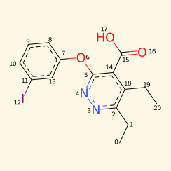 CCc1nnc(Oc2cccc(I)c2)c(C(=O)O)c1CC